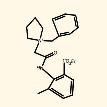 CCOC(=O)c1cccc(C)c1NC(=O)C[N+]1(Cc2ccccc2)CCCC1